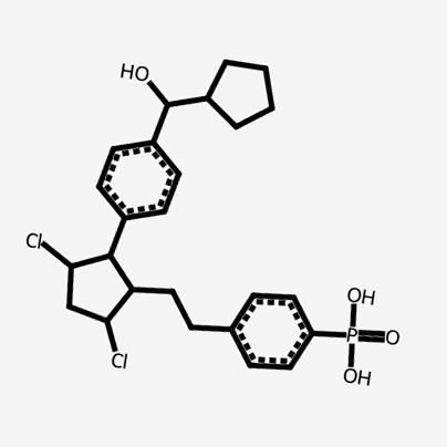 O=P(O)(O)c1ccc(CCC2C(Cl)CC(Cl)C2c2ccc(C(O)C3CCCC3)cc2)cc1